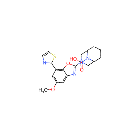 COc1cc(-c2nccs2)c2oc(N3CC4CCCC(C3)N4C(=O)O)nc2c1